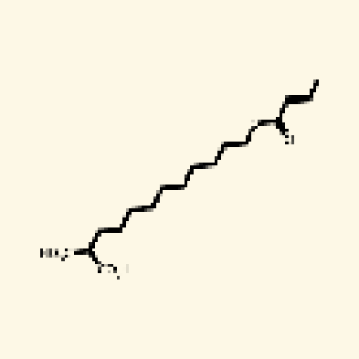 CC=CC(=O)OCCCCCCCCCCC(C(=O)O)C(=O)O